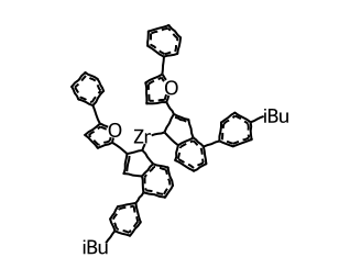 CCC(C)c1ccc(-c2cccc3c2C=C(c2ccc(-c4ccccc4)o2)[CH]3[Zr][CH]2C(c3ccc(-c4ccccc4)o3)=Cc3c(-c4ccc(C(C)CC)cc4)cccc32)cc1